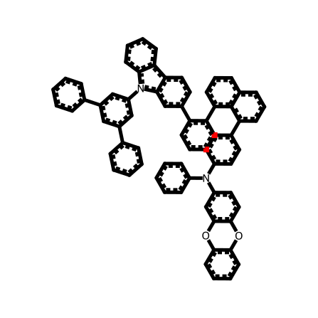 c1ccc(-c2cc(-c3ccccc3)cc(-n3c4ccccc4c4ccc(-c5ccccc5-c5cccc6cccc(-c7ccc(N(c8ccccc8)c8ccc9c(c8)Oc8ccccc8O9)cc7)c56)cc43)c2)cc1